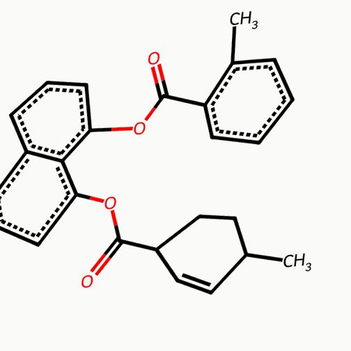 Cc1ccccc1C(=O)Oc1cccc2cccc(OC(=O)C3C=CC(C)CC3)c12